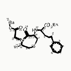 CCOC(=O)C(CCc1ccccc1)N[C@H]1CSC[C@@H](C(C)C)N(CC(=O)OC(C)(C)C)C1=O